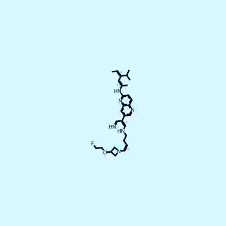 C/C=C(\C=C(/C)Nc1ccc2ncc(/C(C=N)=C/NCC/C=C\N3CC(OCCF)C3)cc2n1)C(C)C